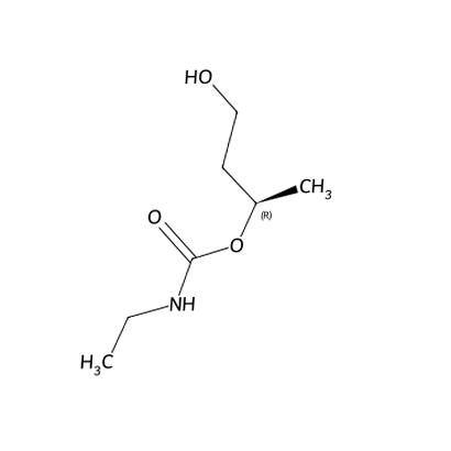 CCNC(=O)O[C@H](C)CCO